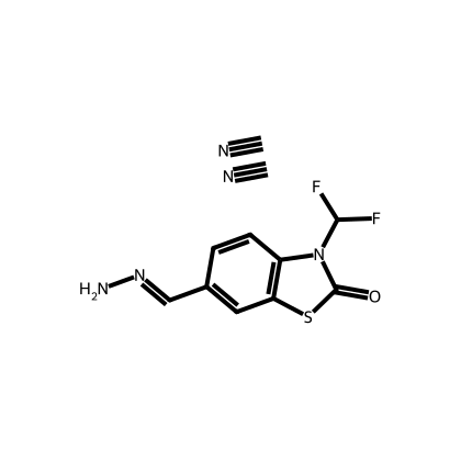 C#N.C#N.NN=Cc1ccc2c(c1)sc(=O)n2C(F)F